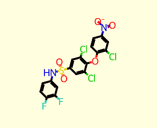 O=[N+]([O-])c1ccc(Oc2c(Cl)cc(S(=O)(=O)Nc3ccc(F)c(F)c3)cc2Cl)c(Cl)c1